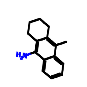 Cc1c2c(c(N)c3ccccc13)CCCC2